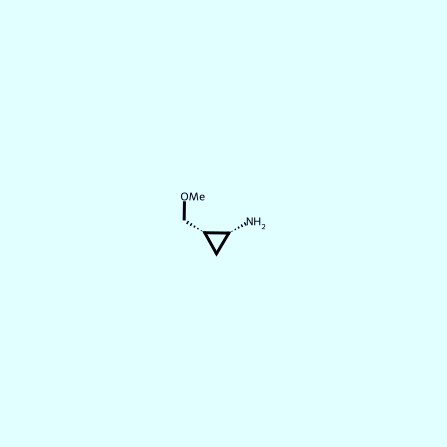 COC[C@H]1C[C@H]1N